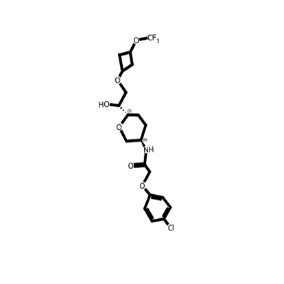 O=C(COc1ccc(Cl)cc1)N[C@@H]1CC[C@@H](C(O)COC2CC(OC(F)(F)F)C2)OC1